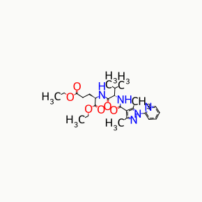 CCOC(=O)CC[C@@H](NC(=O)[C@@H](NC(=O)c1c(C)nn(-c2ccccn2)c1C)C(C)C)C(=O)OCC